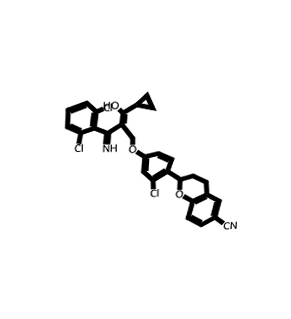 N#Cc1ccc2c(c1)CCC(c1ccc(OC/C(C(=N)c3c(Cl)cccc3Cl)=C(/O)C3CC3)cc1Cl)O2